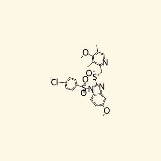 COc1ccc2c(c1)nc([S+]([O-])Cc1ncc(C)c(OC)c1C)n2S(=O)(=O)c1ccc(Cl)cc1